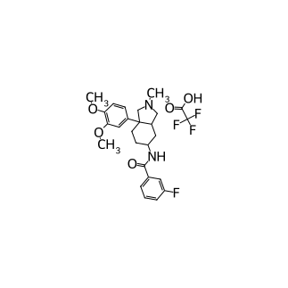 COc1ccc(C23CCC(NC(=O)c4cccc(F)c4)CC2CN(C)C3)cc1OC.O=C(O)C(F)(F)F